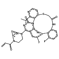 C=CC(=O)N1CCN(c2nc(=O)n3c4nc(c(F)cc24)-c2c(F)cccc2NC(=O)CSc2ccnc(C(C)C)c2-3)C2=C[C@@H]21